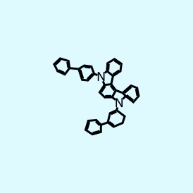 C1=C(c2ccccc2)C=C(n2c3ccccc3c3c4c5ccccc5n(-c5ccc(-c6ccccc6)cc5)c4ccc32)CC1